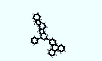 c1ccc(-c2nc(-c3ccc4c5ccccc5c5ccccc5c4c3)nc3c2oc2c3ccc3c4ccccc4oc32)cc1